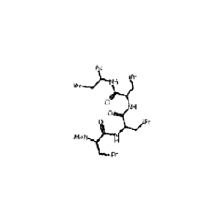 CNC(CC(C)C)C(=O)NC(CC(C)C)C(=O)NC(CC(C)C)C(=O)NC(CC(C)C)C(C)=O